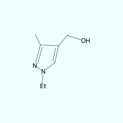 CCn1cc(CO)c(C)n1